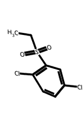 CCS(=O)(=O)c1cc(Cl)ccc1Cl